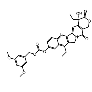 CCc1c2c(nc3ccc(OC(=O)OCc4cc(OC)cc(OC)c4)cc13)-c1cc3c(c(=O)n1C2)COC(=O)[C@]3(O)CC